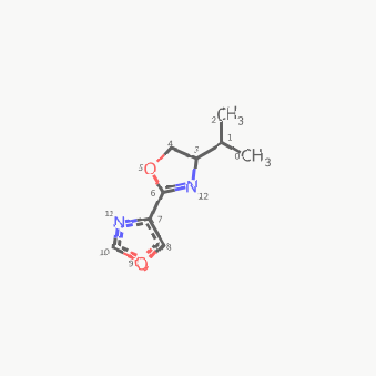 CC(C)C1COC(c2cocn2)=N1